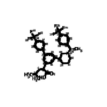 CC(C)CC(C(=O)O)c1cc(-c2ccc(C(F)(F)F)cc2)cc(C2CCCN([C@H](C)c3ccc(C(F)(F)F)cc3)C2)c1